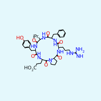 CC(C)C1NC(=O)C(Cc2ccccc2)NC(=O)C(CCCNC(=N)N)NC(=O)C2CCCN2C(=O)C(CCC(=O)O)NC(=O)C(Cc2ccc(O)cc2)NC1=O